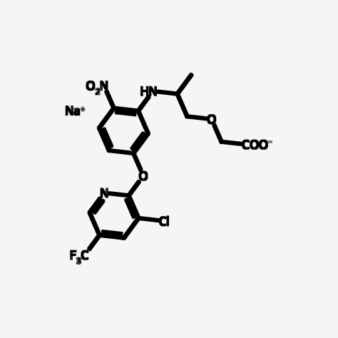 CC(COCC(=O)[O-])Nc1cc(Oc2ncc(C(F)(F)F)cc2Cl)ccc1[N+](=O)[O-].[Na+]